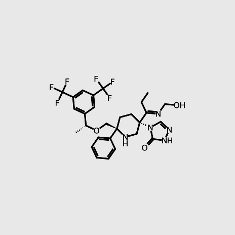 CC/C(=N\CO)[C@]1(n2cn[nH]c2=O)CC[C@@](CO[C@H](C)c2cc(C(F)(F)F)cc(C(F)(F)F)c2)(c2ccccc2)NC1